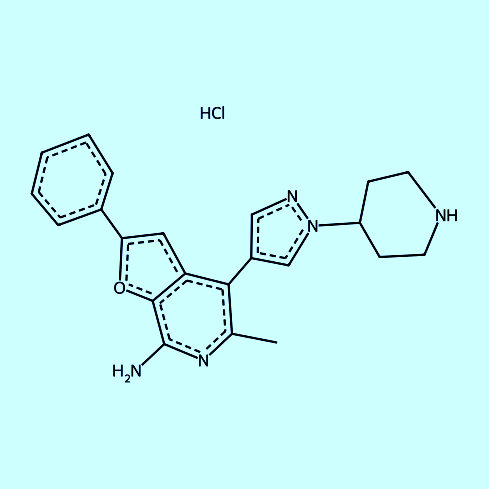 Cc1nc(N)c2oc(-c3ccccc3)cc2c1-c1cnn(C2CCNCC2)c1.Cl